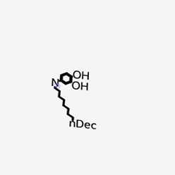 CCCCCCCCCCCCCCCCC/C=N\c1ccc(O)c(O)c1